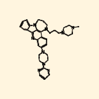 CN1CCN(CCCN2CCCn3c4ccccc4c4nc5cc(N6CCN(c7ncccn7)CC6)ccc5c2c43)CC1